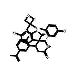 C=C(C)c1ccc(OCC2(C)COC2)c(C2CC(=O)N[C@@H](c3cc(Cl)ccc3C)C23C(=O)Nc2cc(Cl)ccc23)c1